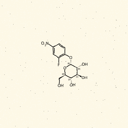 O=[N+]([O-])c1ccc(O[C@H]2O[C@H](CO)[C@@H](O)[C@H](O)[C@H]2O)c(F)c1